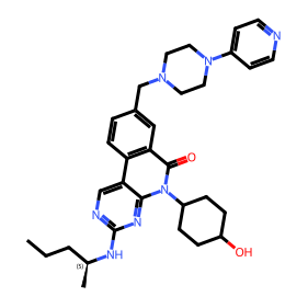 CCC[C@H](C)Nc1ncc2c3ccc(CN4CCN(c5ccncc5)CC4)cc3c(=O)n(C3CCC(O)CC3)c2n1